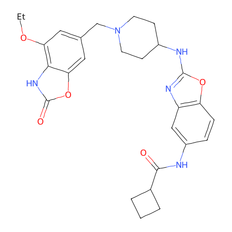 CCOc1cc(CN2CCC(Nc3nc4cc(NC(=O)C5CCC5)ccc4o3)CC2)cc2oc(=O)[nH]c12